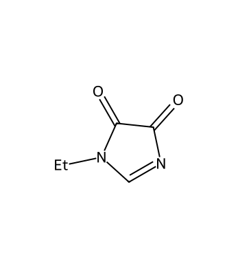 CCN1C=NC(=O)C1=O